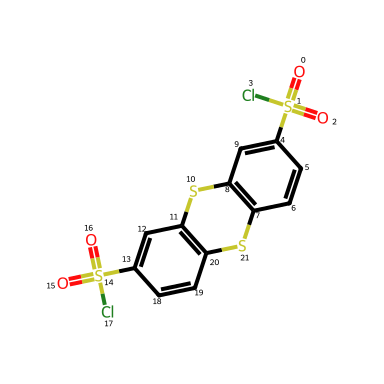 O=S(=O)(Cl)c1ccc2c(c1)Sc1cc(S(=O)(=O)Cl)ccc1S2